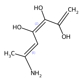 C=C(O)/C(O)=C(O)\C=C(/C)N